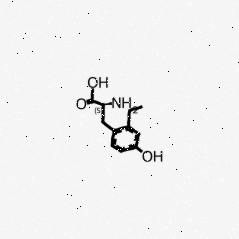 CCc1cc(O)ccc1C[C@H](N)C(=O)O